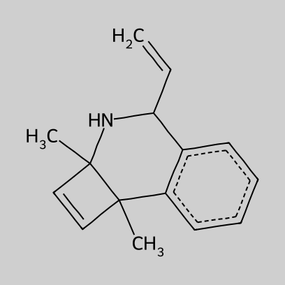 C=CC1NC2(C)C=CC2(C)c2ccccc21